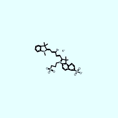 CN1\C(=C/C=C(Br)/C=C/C2=[N+](CCCS(=O)(=O)[O-])c3ccc4cc(S(=O)(=O)[O-])ccc4c3C2(C)C)C(C)(C)c2ccccc21.[K+]